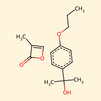 CC1=COC1=O.CCCOc1ccc(C(C)(C)O)cc1